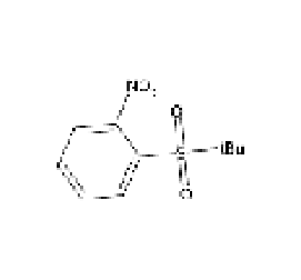 CC(C)(C)S(=O)(=O)c1ccccc1[N+](=O)[O-]